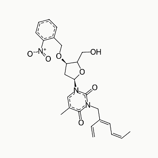 C=C/C(=C\C=C/C)Cn1c(=O)c(C)cn([C@H]2C[C@@H](OCc3ccccc3[N+](=O)[O-])C(CO)O2)c1=O